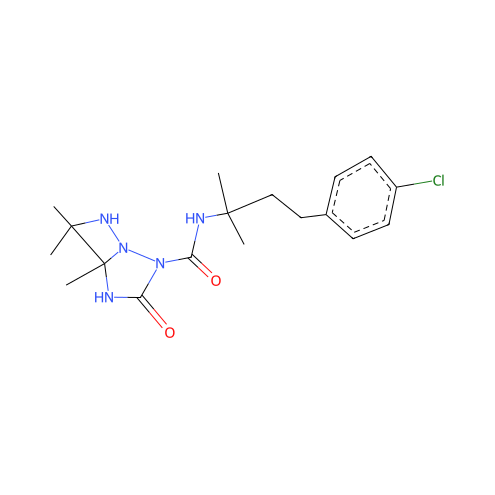 CC(C)(CCc1ccc(Cl)cc1)NC(=O)N1C(=O)NC2(C)N1NC2(C)C